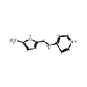 Cc1ccc(CNc2ccncc2)o1